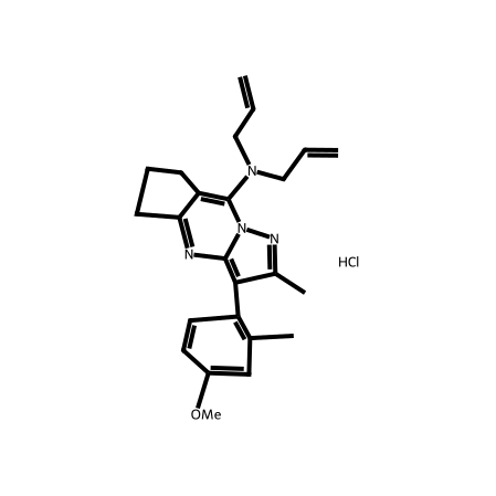 C=CCN(CC=C)c1c2c(nc3c(-c4ccc(OC)cc4C)c(C)nn13)CCC2.Cl